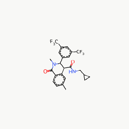 Cc1ccc2c(c1)C(C(=O)NCC1CC1)C(c1cc(C(F)(F)F)cc(C(F)(F)F)c1)N(C)C2=O